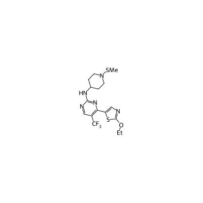 CCOc1ncc(-c2nc(NC3CCN(SC)CC3)ncc2C(F)(F)F)s1